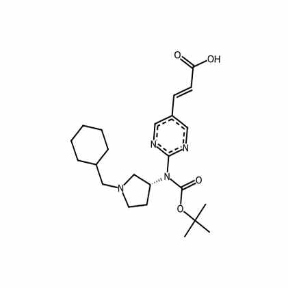 CC(C)(C)OC(=O)N(c1ncc(/C=C/C(=O)O)cn1)[C@@H]1CCN(CC2CCCCC2)C1